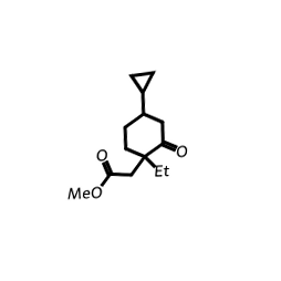 CCC1(CC(=O)OC)CCC(C2CC2)CC1=O